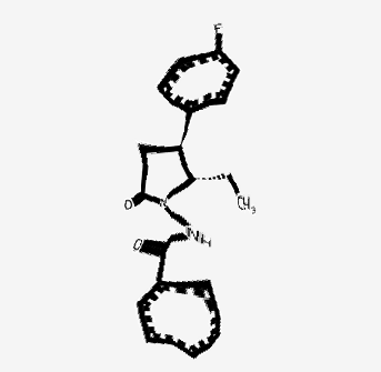 CC[C@H]1[C@H](c2ccc(F)cc2)CC(=O)N1NC(=O)c1ccccc1